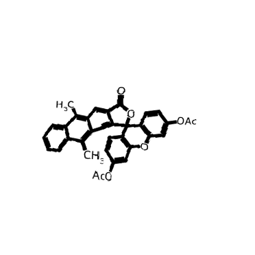 CC(=O)Oc1ccc2c(c1)Oc1cc(OC(C)=O)ccc1C21OC(=O)c2cc3c(C)c4ccccc4c(C)c3cc21